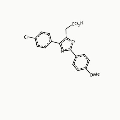 COc1ccc(-c2nc(-c3ccc(Cl)cc3)c(CC(=O)O)o2)cc1